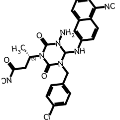 C[C@@H](CC(=O)N=O)N1C(=O)N(N)C(Nc2ccc3c(N=O)cccc3c2)N(Cc2ccc(Cl)cc2)C1=O